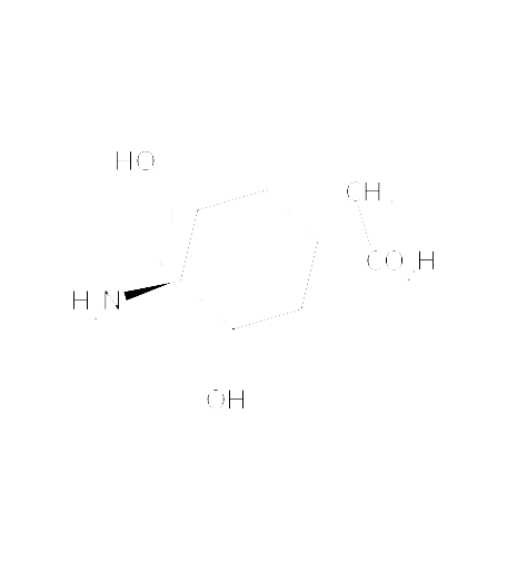 CC(=O)O.N[C@H]1[C@H](O)CCC[C@@H]1O